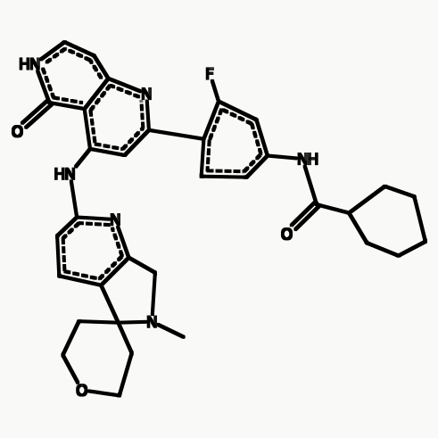 CN1Cc2nc(Nc3cc(-c4ccc(NC(=O)C5CCCCC5)cc4F)nc4cc[nH]c(=O)c34)ccc2C12CCOCC2